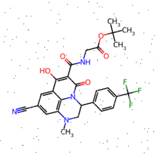 CN1CC(c2ccc(C(F)(F)F)cc2)n2c(=O)c(C(=O)NCC(=O)OC(C)(C)C)c(O)c3cc(C#N)cc1c32